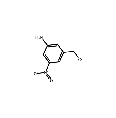 Nc1cc(C[O])cc([N+](=O)[O-])c1